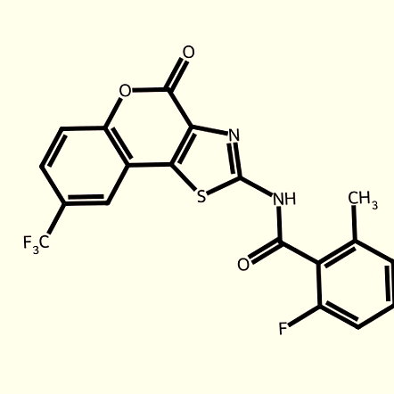 Cc1cccc(F)c1C(=O)Nc1nc2c(=O)oc3ccc(C(F)(F)F)cc3c2s1